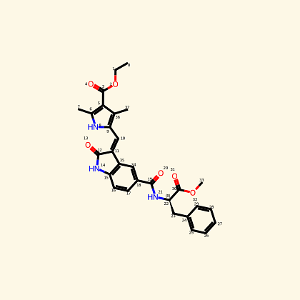 CCOC(=O)c1c(C)[nH]c(C=C2C(=O)Nc3ccc(C(=O)N[C@H](Cc4ccccc4)C(=O)OC)cc32)c1C